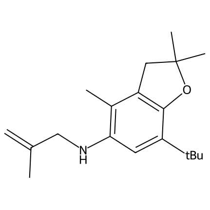 C=C(C)CNc1cc(C(C)(C)C)c2c(c1C)CC(C)(C)O2